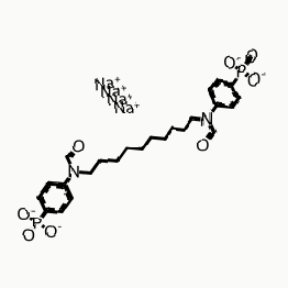 O=CN(CCCCCCCCCCN(C=O)c1ccc(P(=O)([O-])[O-])cc1)c1ccc(P(=O)([O-])[O-])cc1.[Na+].[Na+].[Na+].[Na+]